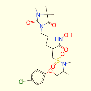 CC(COc1ccc(Cl)cc1)N(C)S(=O)(=O)CC(CCCN1C(=O)N(C)C(C)(C)C1=O)C(=O)NO